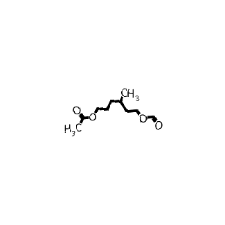 CC(=O)OCCCC(C)CCOC=O